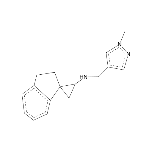 Cn1cc(CNC2CC23CCc2ccccc23)cn1